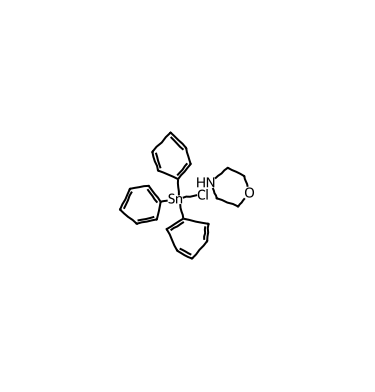 C1COCCN1.[Cl][Sn]([c]1ccccc1)([c]1ccccc1)[c]1ccccc1